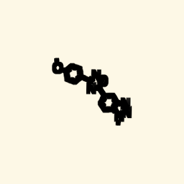 COc1ccc(-c2noc(-c3ccc4c(c3)nnn4C)n2)cc1